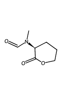 CN(C=O)[C@H]1CCCOC1=O